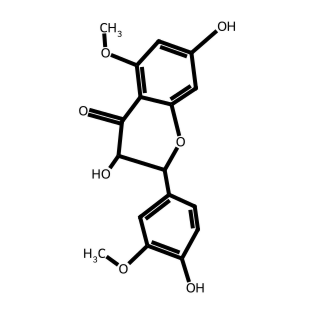 COc1cc(C2Oc3cc(O)cc(OC)c3C(=O)C2O)ccc1O